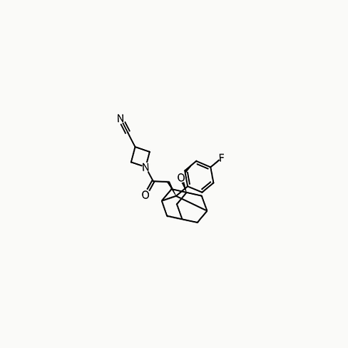 CO[C@]12CC3CC(C1)[C@@](CC(=O)N1CC(C#N)C1)(c1ccc(F)cc1)C(C3)C2